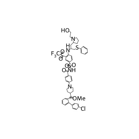 CO[C@@H](c1ccccc1-c1ccc(Cl)cc1)C1CCN(c2ccc(C(=O)NS(=O)(=O)c3ccc(NC(CSc4ccccc4)CC4CCCN4CCO)c(S(=O)(=O)C(F)(F)F)c3)cc2)CC1